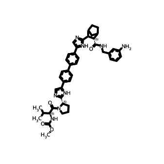 COC(=O)N[C@H](C(=O)N1CCC[C@H]1c1ncc(-c2ccc(-c3ccc(-c4cnc(C5C6CCC(C6)[C@@H]5C(=O)NCc5cccc(N)c5)[nH]4)cc3)cc2)[nH]1)C(C)C